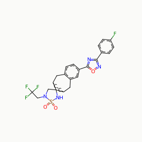 O=S1(=O)NC2(CN1CC(F)(F)F)C1CCC2Cc2cc(-c3nc(-c4ccc(F)cc4)no3)ccc2C1